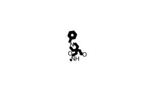 CNC(=O)CC1(CC=O)CCN(Cc2ccccc2)CC1